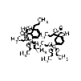 CCCC1(C)C=CC=C([Si](OCC)(OCC)OCC)C1S(=O)(=O)S.CCCC1(S(=O)(=O)S)C=CC=C([Si](OCC)(OCC)OCC)C1